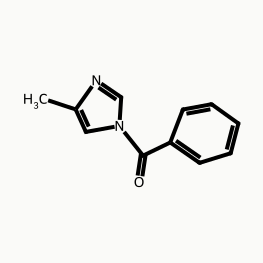 Cc1cn(C(=O)c2ccccc2)cn1